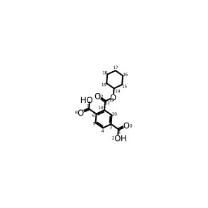 O=C(O)c1ccc(C(=O)O)c(C(=O)OC2CCCCC2)c1